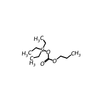 CCCOC(=O)O[Si](CC)(CC)CC